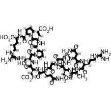 CC(C)[C@H](NC(=O)[C@H](CO)NC(=O)[C@H](C)NC(=O)[C@H](CCCNC(=N)N)NC(=O)[C@@H](N)CC(N)=O)C(=O)NCC(=O)N[C@@H](CCC(N)=O)C(=O)N[C@@H](CC(=O)O)C(=O)N[C@@H](CO)C(=O)N1CCC[C@H]1C(=O)N[C@@H](CCC(=O)O)C(=O)N1CCC[C@H]1C(=O)N[C@@H](CCCNC(=N)N)C(=O)O